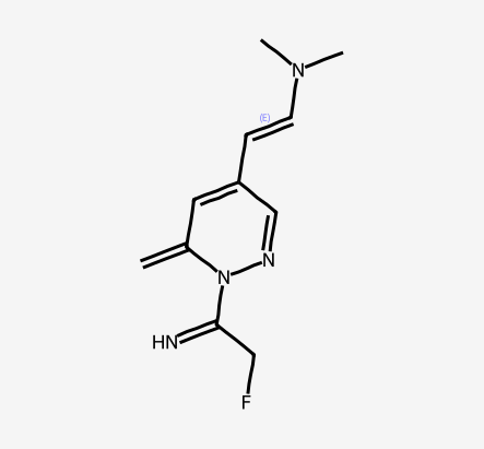 C=C1C=C(/C=C/N(C)C)C=NN1C(=N)CF